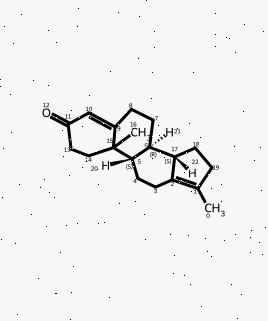 CC1=C2CC[C@H]3[C@@H](CCC4=CC(=O)CCC43C)[C@@H]2CC1